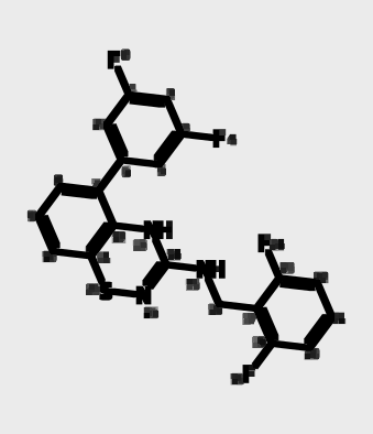 Fc1cc(F)cc(-c2cccc3c2NC(NCc2c(F)cccc2F)=NS3)c1